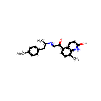 COc1ccc(CC(C)/N=C/C(=O)c2ccc(C)c3[nH]c(=O)ccc23)cc1